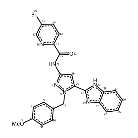 COc1ccc(Cn2nc(NC(=O)c3ccc(Br)cn3)cc2-c2nc3ccccc3[nH]2)cc1